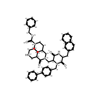 O=C1NC(Cc2ccc3ccccc3c2)C(=O)N(Cc2ccc(-c3ccccc3)cc2)C1CN(CC1CCN(C(=O)OCc2ccccc2)CC1)C(=O)C1CCCNC1